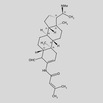 CN[C@@H](C)[C@H]1CC[C@H]2[C@@H]3CC[C@H]4C(C=O)C(NC(=O)C=C(C)C)=CC[C@]4(C)[C@H]3CC[C@]12C